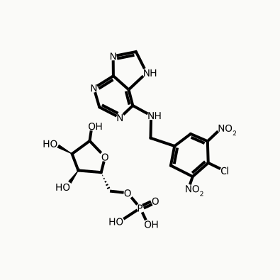 O=P(O)(O)OC[C@H]1OC(O)[C@H](O)[C@@H]1O.O=[N+]([O-])c1cc(CNc2ncnc3nc[nH]c23)cc([N+](=O)[O-])c1Cl